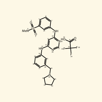 CNS(=O)(=O)c1cccc(Nc2cc(Nc3cccc(CN4CCCC4)c3)ncn2)c1.O=C(O)C(F)(F)F